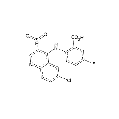 O=C(O)c1cc(F)ccc1Nc1c([SH](=O)=O)cnc2ccc(Cl)cc12